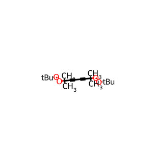 CC(C)(C)OOC(C)(C)C#CC#CC(C)(C)OOC(C)(C)C